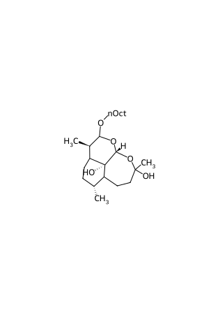 CCCCCCCCOC1O[C@@H]2OC(C)(O)CCC3[C@H](C)CCC([C@H]1C)[C@]32O